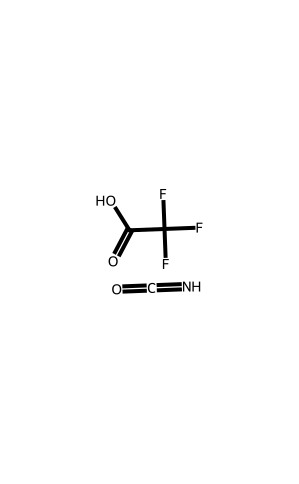 N=C=O.O=C(O)C(F)(F)F